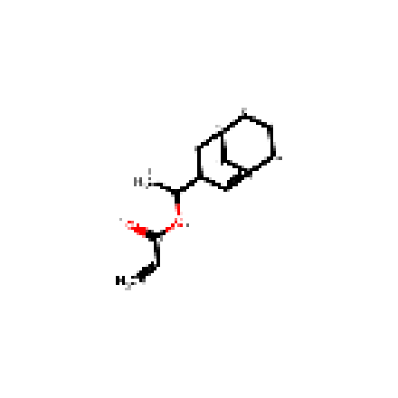 C=CC(=O)OC(C)C1C=C2CCCC(C2)C1